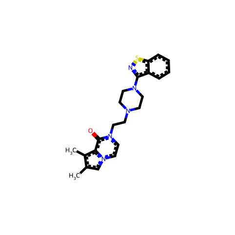 Cc1cn2ccn(CCN3CCN(c4nsc5ccccc45)CC3)c(=O)c2c1C